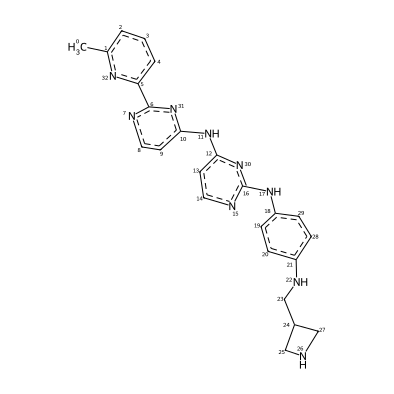 Cc1cccc(-c2nccc(Nc3ccnc(Nc4ccc(NCC5CNC5)cc4)n3)n2)n1